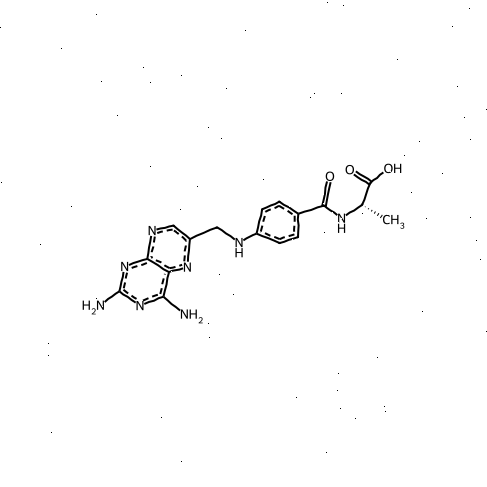 C[C@H](NC(=O)c1ccc(NCc2cnc3nc(N)nc(N)c3n2)cc1)C(=O)O